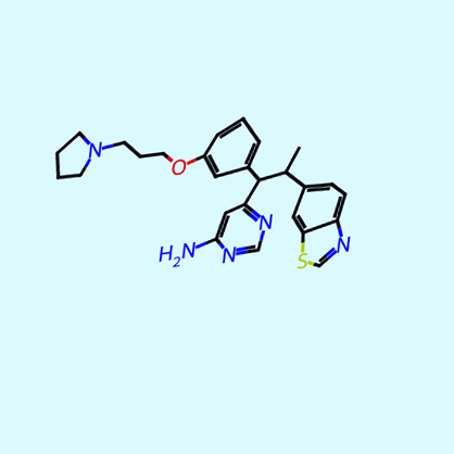 CC(c1ccc2ncsc2c1)C(c1cccc(OCCCN2CCCC2)c1)c1cc(N)ncn1